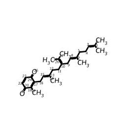 CC(C)=CCC/C(C)=C/CC(CC/C(C)=C/CC1=C(C)C(=O)C=CC1=O)=C(C)C